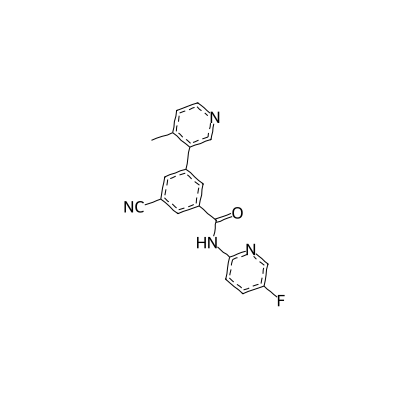 Cc1ccncc1-c1cc(C#N)cc(C(=O)Nc2ccc(F)cn2)c1